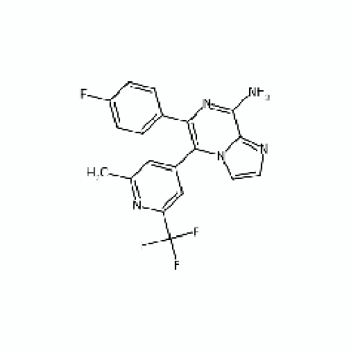 Cc1cc(-c2c(-c3ccc(F)cc3)nc(N)c3nccn23)cc(C(F)(F)F)n1